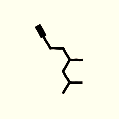 C#CCCC(C)CC([CH2])C